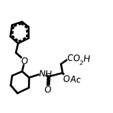 CC(=O)OC(CC(=O)O)C(=O)NC1CCCCC1OCc1ccccc1